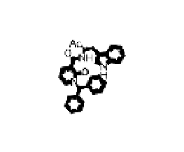 CC(=O)[C@H](Cc1c[nH]c2ccccc12)NC(=O)c1cccn(C(c2ccccc2)c2ccccc2)c1=O